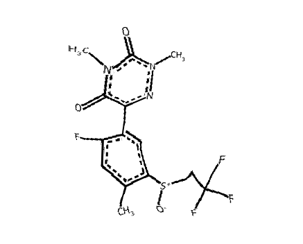 Cc1cc(F)c(-c2nn(C)c(=O)n(C)c2=O)cc1[S+]([O-])CC(F)(F)F